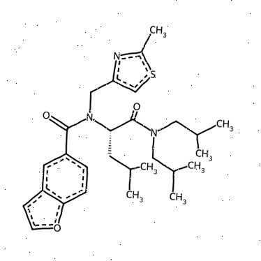 Cc1nc(CN(C(=O)c2ccc3occc3c2)[C@@H](CC(C)C)C(=O)N(CC(C)C)CC(C)C)cs1